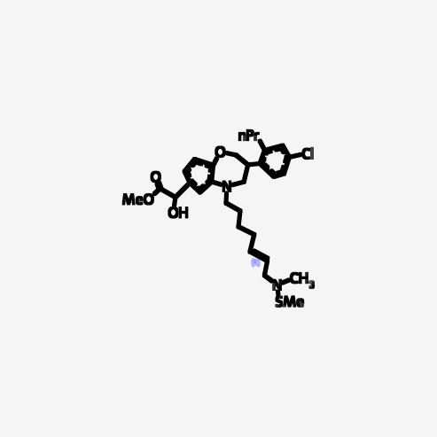 CCCc1cc(Cl)ccc1C1COc2ccc(C(O)C(=O)OC)cc2N(CCCC/C=C/CN(C)SC)C1